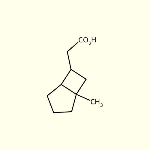 CC12CCCC1C(CC(=O)O)C2